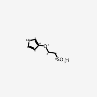 O=S(=O)(O)CCOc1[c]s[c]c1